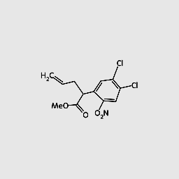 C=CCC(C(=O)OC)c1cc(Cl)c(Cl)cc1[N+](=O)[O-]